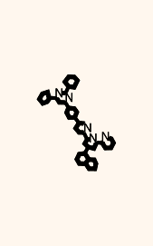 c1ccc(-c2cc(-c3ccc(-c4ccc(-c5cc(-c6cccc7ccccc67)cc(-c6ccccn6)n5)nc4)cc3)nc(-c3ccccc3)n2)cc1